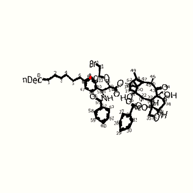 CCCCCCCCCCCCCCCCCCOC(CBr)O[C@@H](C(=O)O[C@H]1C[C@@]2(O)[C@@H](OC(=O)c3ccccc3)[C@@H]3[C@]4(OC(C)=O)CO[C@@H]4C[C@H](O)[C@@]3(C)C(=O)[C@H](C)C(=C1C)C2(C)C)[C@@H](NC(=O)c1ccccc1)c1ccccc1